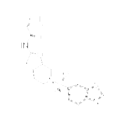 C=CC(=O)NC1CC2CCN(S(=O)(=O)c3ccc4ncsc4c3)CC2O1